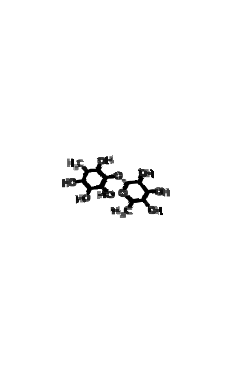 CC1O[C@H](OC2C(O)[C@H](C)C(O)C(O)[C@@H]2O)C(O)C(O)[C@H]1O